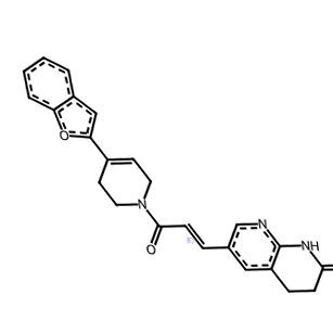 C=C1CCc2cc(/C=C/C(=O)N3CC=C(c4cc5ccccc5o4)CC3)cnc2N1